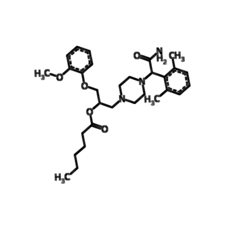 CCCCCC(=O)OC(COc1ccccc1OC)CN1CCN(C(C(N)=O)c2c(C)cccc2C)CC1